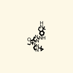 CCn1c(=O)c2cnc(Nc3ccc4c(c3)CCNC4(C)C)nc2n1-c1ccnc(C2(C)CC2)n1